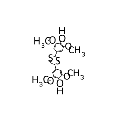 COc1cc(C2CSC(c3cc(OC)c(O)c(OC)c3)S2)cc(OC)c1O